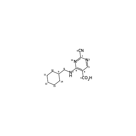 N#Cc1ncc(C(=O)O)c(NCC2CCCCC2)n1